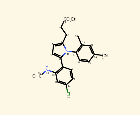 CCOC(=O)CCc1ccc(-c2ccc(Cl)cc2NC=O)n1-c1ccc(C#N)cc1C